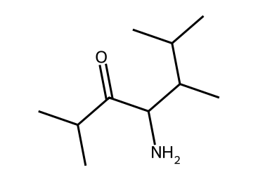 CC(C)C(=O)C(N)C(C)C(C)C